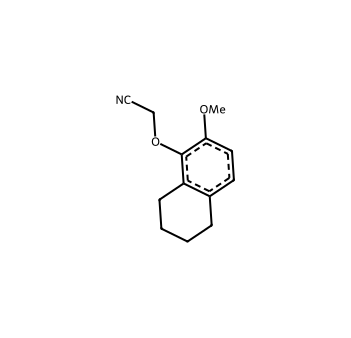 COc1ccc2c(c1OCC#N)CCCC2